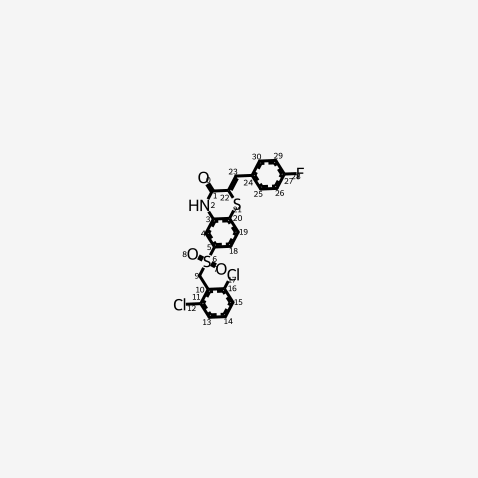 O=C1Nc2cc(S(=O)(=O)Cc3c(Cl)cccc3Cl)ccc2SC1=Cc1ccc(F)cc1